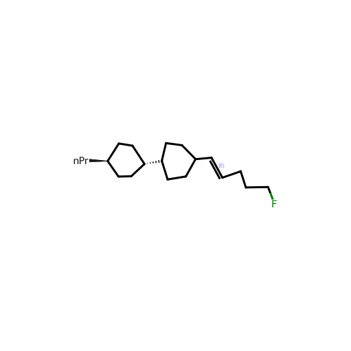 CCC[C@H]1CC[C@H](C2CCC(/C=C/CCCF)CC2)CC1